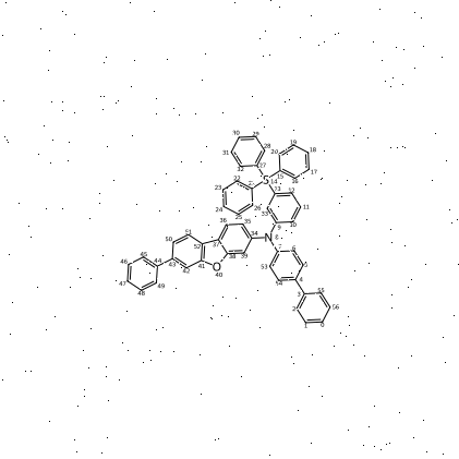 c1ccc(-c2ccc(N(c3cccc(S(c4ccccc4)(c4ccccc4)c4ccccc4)c3)c3ccc4c(c3)oc3cc(-c5ccccc5)ccc34)cc2)cc1